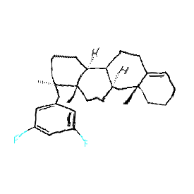 C[C@]12CCCC=C1CCC1[C@@H]2CC[C@@]2(C)[C@H]1CC[C@]2(C)c1cc(F)cc(F)c1